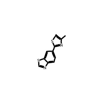 Cc1csc(-c2ccc3ncsc3c2)n1